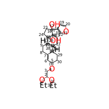 CCOC(CO[C@@H]1C=C2CC[C@@H]3[C@H](CC[C@]4(C)[C@@](O)(c5ccoc5)CC[C@]34O)[C@@]2(C)CC1)OCC